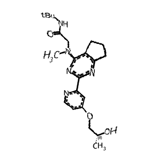 C[C@@H](O)COc1ccnc(-c2nc3c(c(N(C)CC(=O)NC(C)(C)C)n2)CCC3)c1